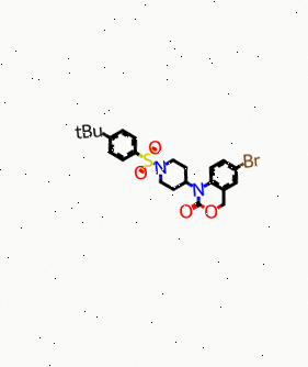 CC(C)(C)c1ccc(S(=O)(=O)N2CCC(N3C(=O)OCc4cc(Br)ccc43)CC2)cc1